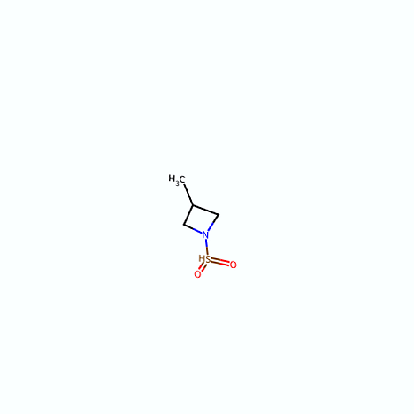 CC1CN([SH](=O)=O)C1